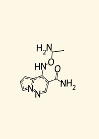 CC(N)ONc1c(C(N)=O)cnn2cccc12